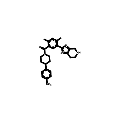 Cc1cc(C)c(-c2nc3c([nH]2)CCNC3)cc1C(=O)N1CCC(c2ccc(N)cc2)CC1